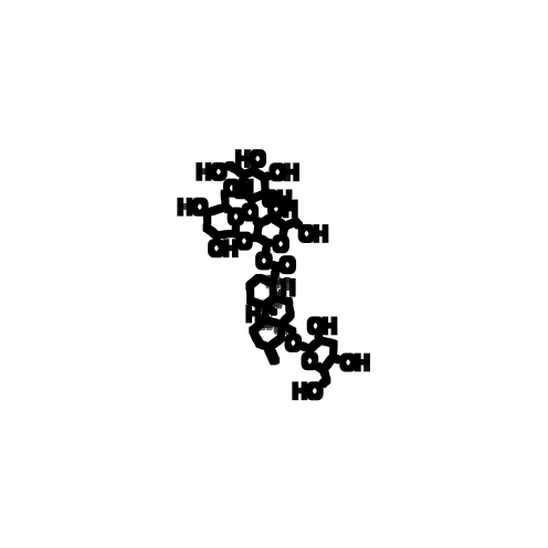 C=C1CC[C@@H]2[C@](COC3OC(CO)C(O)CC3O)(CC[C@H]3[C@@]2(C)CCC[C@@]3(C)C(=O)OC2OC(CO)C(O)C(OC3OC(CO)C(O)C(O)C3O)C2OC2OC(CO)C(O)CC2O)C1